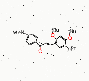 CCCc1cc(C=CC(=O)c2ccc(NC)cc2)c(OC(C)(C)C)cc1OC(C)(C)C